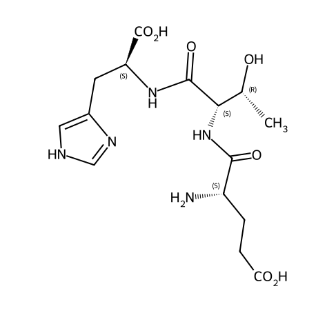 C[C@@H](O)[C@H](NC(=O)[C@@H](N)CCC(=O)O)C(=O)N[C@@H](Cc1c[nH]cn1)C(=O)O